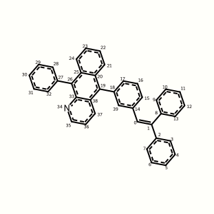 C(=C(c1ccccc1)c1ccccc1)c1cccc(-c2c3ccccc3c(-c3ccccc3)c3ncccc23)c1